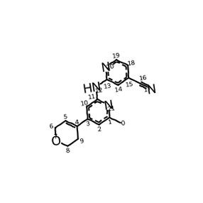 Cc1cc(C2=CCOCC2)cc(Nc2cc(C#N)ccn2)n1